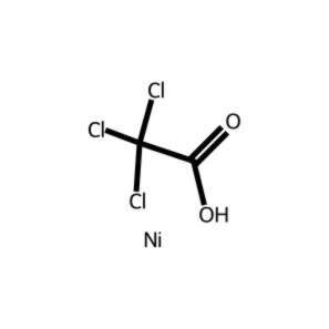 O=C(O)C(Cl)(Cl)Cl.[Ni]